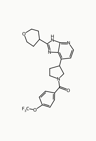 O=C(c1ccc(OC(F)(F)F)cc1)N1CCC(c2ccnc3[nH]c(C4CCOCC4)nc23)C1